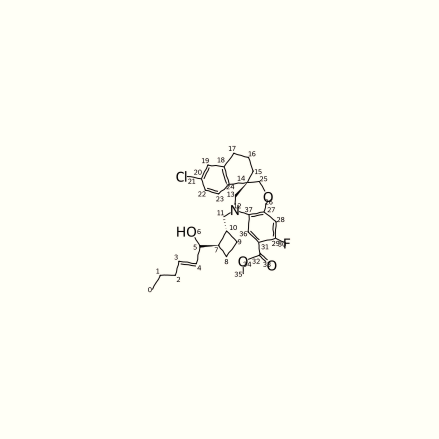 CCC/C=C/C(O)[C@@H]1CC[C@H]1CN1C[C@@]2(CCCc3cc(Cl)ccc32)COc2cc(F)c(C(=O)OC)cc21